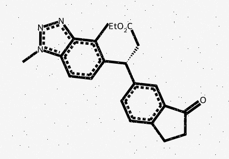 CCOC(=O)C[C@H](c1ccc2c(c1)C(=O)CC2)c1ccc2c(nnn2C)c1C